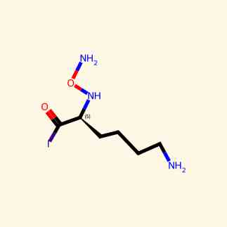 NCCCC[C@H](NON)C(=O)I